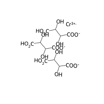 O=C([O-])C(O)C(O)C(=O)O.O=C([O-])C(O)C(O)C(=O)O.O=C([O-])C(O)C(O)C(=O)O.[Cr+3]